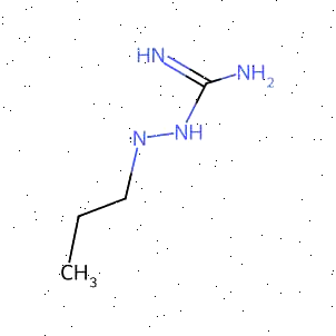 CCC[N]NC(=N)N